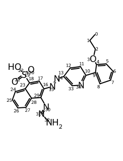 CCCOc1ccccc1-c1ccc(/N=N/c2cc(S(=O)(=O)O)c3ccccc3c2N=NN)cn1